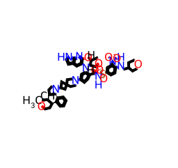 CC1(C)C[C@@H](c2ccccc2[C@@H]2CCCN2C2CC3(CCN(c4ccc(C(=O)NS(=O)(=O)c5ccc(NCC6CCOCC6)c([N+](=O)[O-])c5)c(N5c6cc7cc[nH]c7nc6O[C@@H]6COC[C@H]65)c4)CC3)C2)CCO1